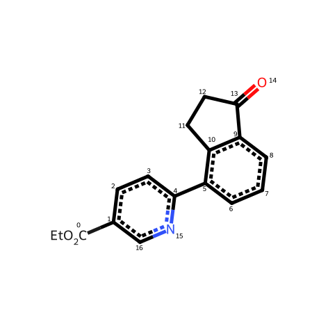 CCOC(=O)c1ccc(-c2cccc3c2CCC3=O)nc1